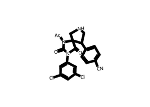 CC(=O)N1C(=O)N(c2cc(Cl)cc(Cl)c2)C(=O)C12CNCC2c1ccc(C#N)cc1